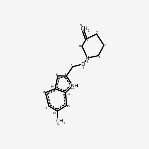 C=C1CCCN(OCc2cc3ccc(C)cc3[nH]2)C1